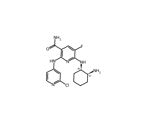 NC(=O)c1cc(F)c(N[C@@H]2CCCC[C@@H]2N)nc1Nc1ccnc(Cl)c1